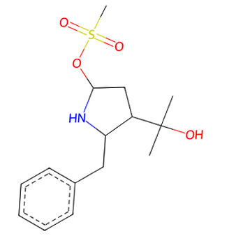 CC(C)(O)C1CC(OS(C)(=O)=O)NC1Cc1ccccc1